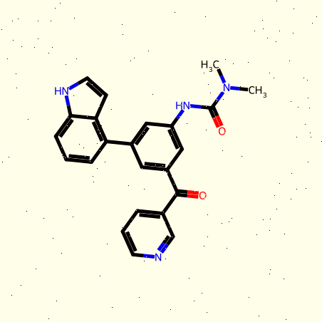 CN(C)C(=O)Nc1cc(C(=O)c2cccnc2)cc(-c2cccc3[nH]ccc23)c1